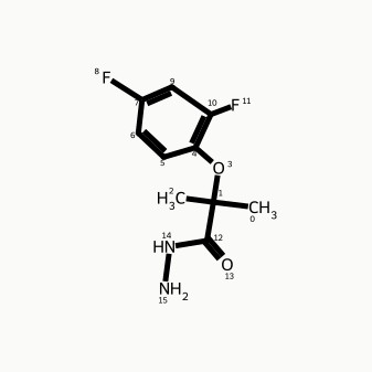 CC(C)(Oc1ccc(F)cc1F)C(=O)NN